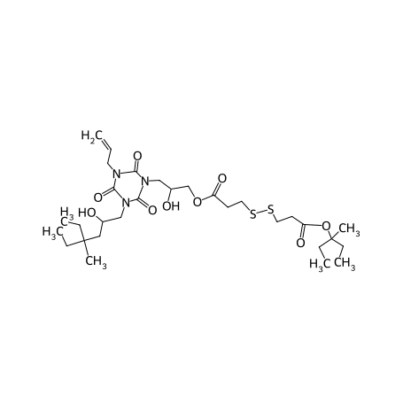 C=CCn1c(=O)n(CC(O)COC(=O)CCSSCCC(=O)OC(C)(CC)CC)c(=O)n(CC(O)CC(C)(CC)CC)c1=O